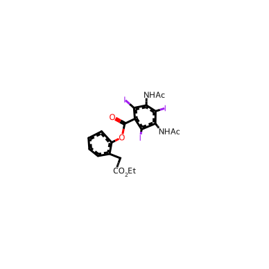 CCOC(=O)Cc1ccccc1OC(=O)c1c(I)c(NC(C)=O)c(I)c(NC(C)=O)c1I